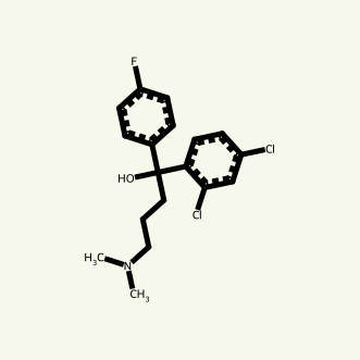 CN(C)CCCC(O)(c1ccc(F)cc1)c1ccc(Cl)cc1Cl